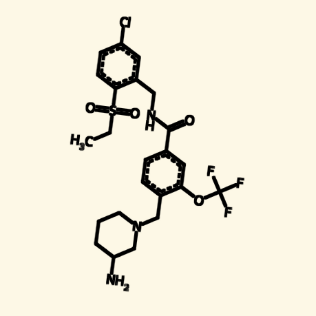 CCS(=O)(=O)c1ccc(Cl)cc1CNC(=O)c1ccc(CN2CCCC(N)C2)c(OC(F)(F)F)c1